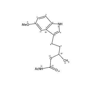 COc1ccc2[nH]cc(CCC(C)OC(=O)NC(C)=O)c2c1